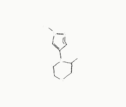 Cn1cc(N2CCNCC2C(F)(F)F)cn1